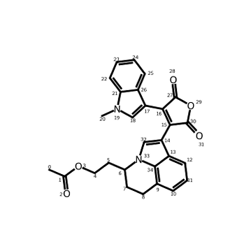 CC(=O)OCCC1CCc2cccc3c(C4=C(c5cn(C)c6ccccc56)C(=O)OC4=O)cn1c23